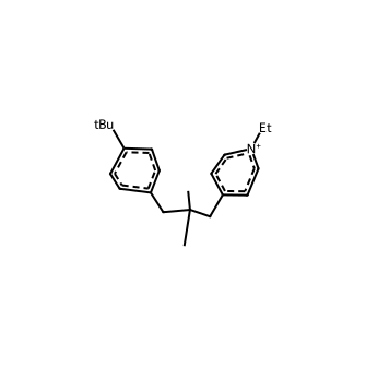 CC[n+]1ccc(CC(C)(C)Cc2ccc(C(C)(C)C)cc2)cc1